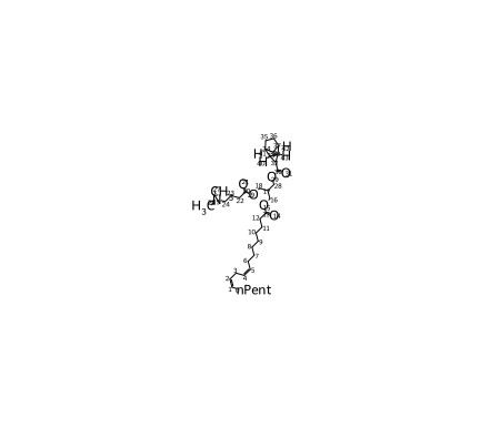 CCCCC/C=C\C/C=C\CCCCCCCC(=O)OCC(COC(=O)CCCN(C)C)COC(=O)C1[C@@H]2[C@H]3CC[C@H](C3)[C@H]12